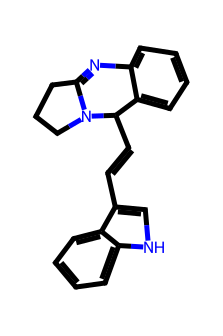 C(=CC1c2ccccc2N=C2CCCN21)c1c[nH]c2ccccc12